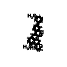 Cc1cncc(-c2ccc(-c3cc4cnc(C)nc4n(C[C@@H]4CNCCO4)c3=O)c(Cl)c2)n1